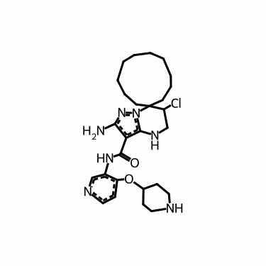 Nc1nn2c(c1C(=O)Nc1cnccc1OC1CCNCC1)NCC(Cl)C21CCCCCCCCCC1